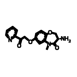 CN1C(=O)[C@@H](N)COc2ccc(OCC(=O)c3ccccn3)cc21